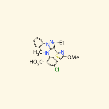 CCc1nn(-c2ccccc2C)c(Nc2ccc(Cl)cc2C(=O)O)c1-c1nc(OC)cs1